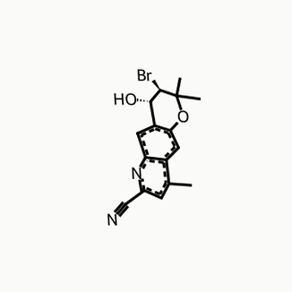 Cc1cc(C#N)nc2cc3c(cc12)OC(C)(C)[C@H](Br)[C@H]3O